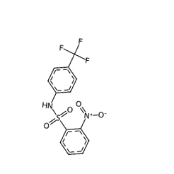 O=[N+]([O-])c1ccccc1S(=O)(=O)Nc1ccc(C(F)(F)F)cc1